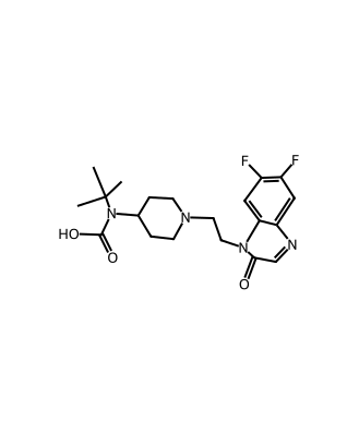 CC(C)(C)N(C(=O)O)C1CCN(CCn2c(=O)cnc3cc(F)c(F)cc32)CC1